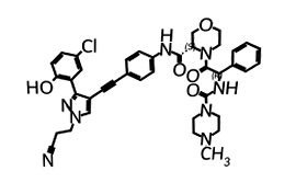 CN1CCN(C(=O)N[C@@H](C(=O)N2CCOC[C@H]2C(=O)Nc2ccc(C#Cc3cn(CCC#N)nc3-c3cc(Cl)ccc3O)cc2)c2ccccc2)CC1